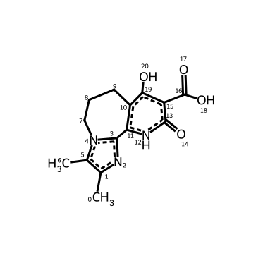 Cc1nc2n(c1C)CCCc1c-2[nH]c(=O)c(C(=O)O)c1O